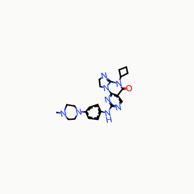 CN1CCN(c2ccc(Nc3ncc4c(n3)N3CCN=C3N(C3CCC3)C4=O)cc2)CC1